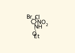 CCOCCNc1ccc(Br)c(Cl)c1[N+](=O)[O-]